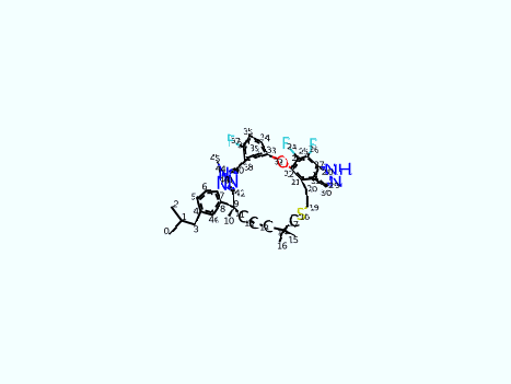 CC(C)Cc1cccc([C@@]2(C)CCCC(C)(C)CSCCc3c(c(F)c(F)c4[nH]ncc34)Oc3ccc(F)c(c3)-c3nc2nn3C)c1